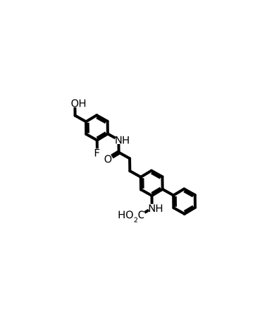 O=C(O)Nc1cc(CCC(=O)Nc2ccc(CO)cc2F)ccc1-c1ccccc1